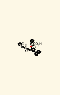 O=C(C=Cc1cc(-c2cccc3ccccc23)ccc1CN(Cc1ccccc1)C(=O)C(=O)O)NCCCN1CCCC1=O